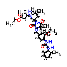 CCOC(=O)CC(C)NCC(CC(C)C)N1C(=O)N(Cc2ccc(NC(=O)Nc3ccccc3C)c(OC)c2)C(C)(C)C1=O